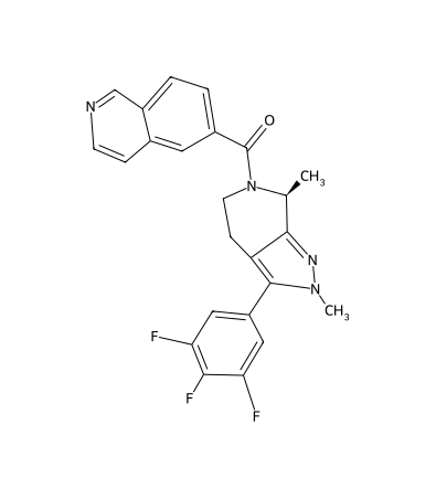 C[C@H]1c2nn(C)c(-c3cc(F)c(F)c(F)c3)c2CCN1C(=O)c1ccc2cnccc2c1